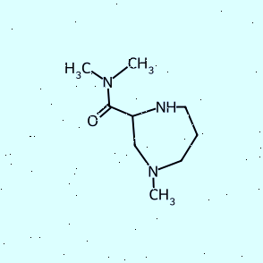 CN1CCCNC(C(=O)N(C)C)C1